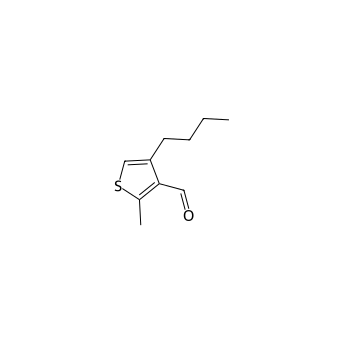 CCCCc1csc(C)c1C=O